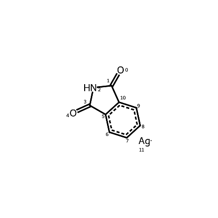 O=C1NC(=O)c2ccccc21.[Ag]